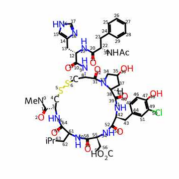 CNC(=O)[C@@H]1CSSC[C@H](NC(=O)[C@H](Cc2c[nH]cn2)NC(=O)[C@H](Cc2ccccc2)NC(C)=O)C(=O)N2CC(O)C[C@H]2C(=O)N[C@@H](Cc2ccc(O)c(Cl)c2)C(=O)N[C@@H](CC(=O)O)C(=O)NC(CC(C)C)C(=O)N1